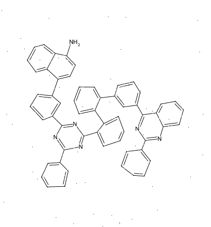 Nc1ccc(-c2cccc(-c3nc(-c4ccccc4)nc(-c4ccccc4-c4ccccc4-c4cccc(-c5nc(-c6ccccc6)nc6ccccc56)c4)n3)c2)c2ccccc12